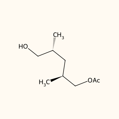 CC(=O)OC[C@@H](C)C[C@@H](C)CO